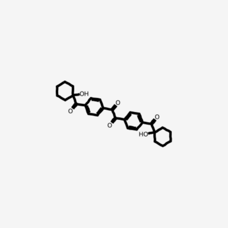 O=C(C(=O)c1ccc(C(=O)C2(O)CCCCC2)cc1)c1ccc(C(=O)C2(O)CCCCC2)cc1